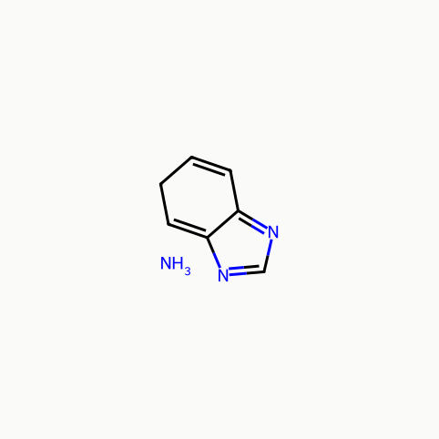 C1=CC2=NC=NC2=CC1.N